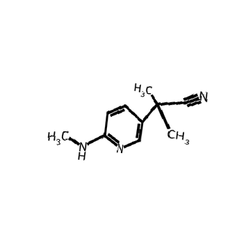 CNc1ccc(C(C)(C)C#N)cn1